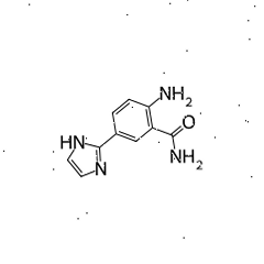 NC(=O)c1cc(-c2ncc[nH]2)ccc1N